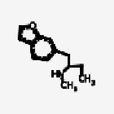 CCC(Cc1ccc2ccoc2c1)NC